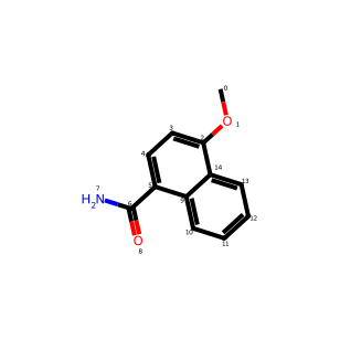 COc1ccc(C(N)=O)c2ccccc12